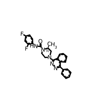 C[C@H]1CN(c2nnc(-c3ccccc3)c3ccccc23)CCN1C(=O)Nc1ccc(F)cc1F